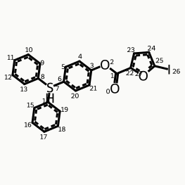 O=C(Oc1ccc([SH](c2ccccc2)c2ccccc2)cc1)c1ccc(I)o1